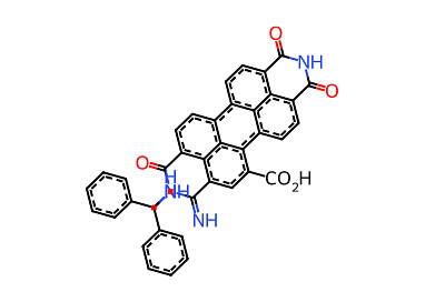 N=C(NCc1ccccc1)c1cc(C(=O)O)c2c3ccc4c5c(ccc(c6ccc(C(=O)NCc7ccccc7)c1c62)c53)C(=O)NC4=O